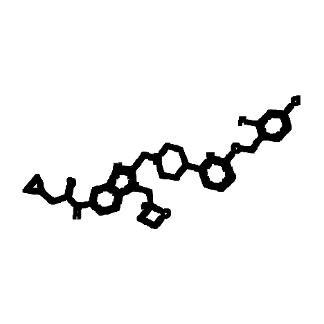 O=C(CC1CC1)Nc1ccc2c(c1)nc(CN1CCC(c3cccc(OCc4ccc(Cl)cc4F)n3)CC1)n2C[C@@H]1CCO1